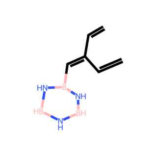 C=CC(C=C)=CB1NBNBN1